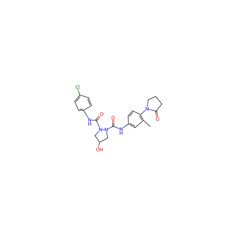 Cc1cc(NC(=O)N2CC(O)CN2C(=O)Nc2ccc(Cl)cc2)ccc1N1CCCC1=O